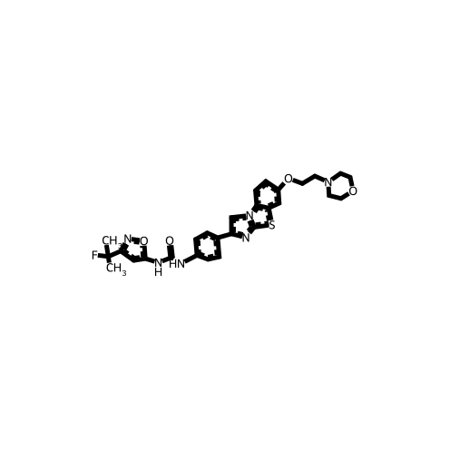 CC(C)(F)c1cc(NC(=O)Nc2ccc(-c3cn4c(n3)sc3cc(OCCN5CCOCC5)ccc34)cc2)on1